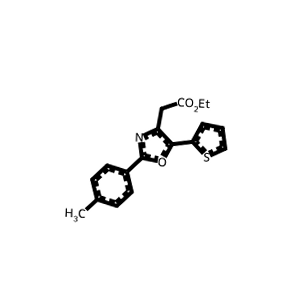 CCOC(=O)Cc1nc(-c2ccc(C)cc2)oc1-c1cccs1